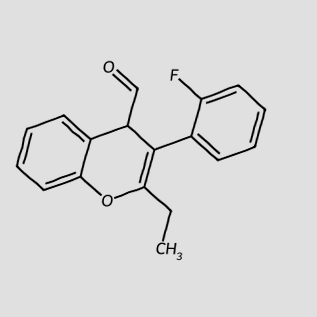 CCC1=C(c2ccccc2F)C(C=O)c2ccccc2O1